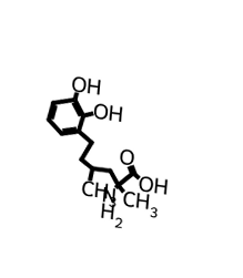 CC(CCc1cccc(O)c1O)CC(C)(N)C(=O)O